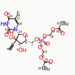 C#CC1(O)[C@@H](O)[C@@H](COP(=O)(OCOC(=O)C(C)(C)C)OCOC(=O)C(C)(C)C)O[C@H]1n1cc(F)c(=O)[nH]c1=O